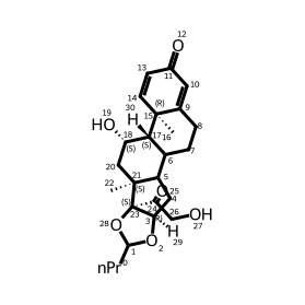 CCCC1O[C@@H]2CC3C4CCC5=CC(=O)C=C[C@]5(C)[C@H]4[C@@H](O)C[C@]3(C)[C@]2(C(=O)CO)O1